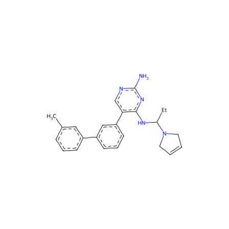 CCC(Nc1nc(N)ncc1-c1cccc(-c2cccc(C)c2)c1)N1CC=CC1